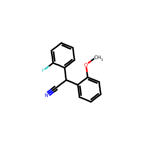 COc1ccccc1C(C#N)c1ccccc1F